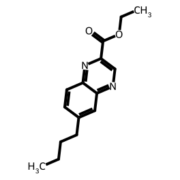 CCCCc1ccc2nc(C(=O)OCC)cnc2c1